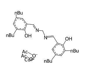 CC(=O)[O-].CC(=O)[O-].CCCCc1cc(C=NCN=Cc2cc(CCCC)cc(CCCC)c2O)c(O)c(CCCC)c1.[Co+2]